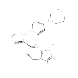 Cc1nn(C(C)C)c2nc(-c3ccnn3-c3ccc(N4CCOCC4)cc3)ccc12